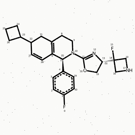 Fc1ccc([C@H]2C3=C(CCN2C2=N[C@H](C4(F)CNC4)CO2)CC(C2CCC2)C=C3)cc1